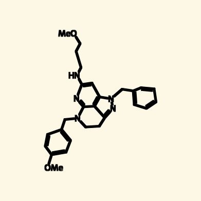 COCCCNc1cc2c3c(nn2Cc2ccccc2)CCN(Cc2ccc(OC)cc2)c3n1